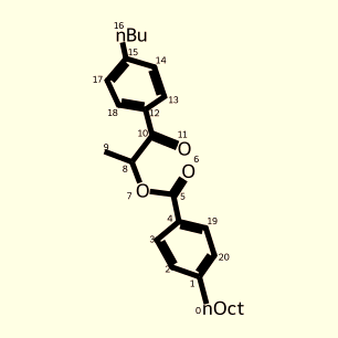 CCCCCCCCc1ccc(C(=O)OC(C)C(=O)c2ccc(CCCC)cc2)cc1